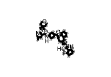 Cc1cnc(N2CC3(CCOCC3)C2)c(C(=O)Nc2ccc(C(=O)N3CCc4cc(NC(O)c5c(F)cccc5F)sc4-c4ccccc43)cc2)c1